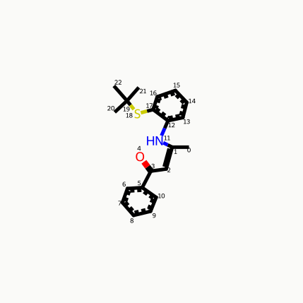 C/C(=C/C(=O)c1ccccc1)Nc1ccccc1SC(C)(C)C